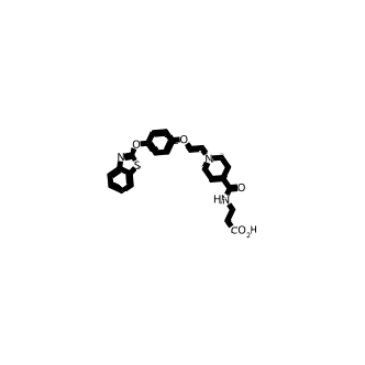 O=C(O)CCNC(=O)C1CCN(CCOc2ccc(Oc3nc4ccccc4s3)cc2)CC1